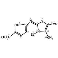 CCOC(=O)c1ccc(N=c2sc(C(C)=O)c(C)n2CC)cc1